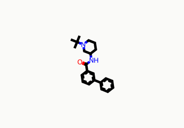 CC(C)(C)N1CCCC(NC(=O)c2cccc(-c3ccccc3)c2)C1